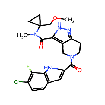 COCC1(N(C)C(=O)c2[nH]nc3c2CN(C(=O)c2cc4ccc(Cl)c(F)c4[nH]2)CC3)CC1